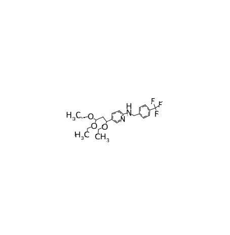 CCOC(CC(OCC)c1ccc(NCc2ccc(C(F)(F)F)cc2)nc1)OCC